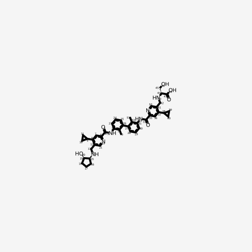 Cc1c(NC(=O)c2cc(C3CC3)c(CN[C@H]3CCC[C@@H]3O)cn2)cccc1-c1cccc(NC(=O)c2cc(C3CC3)c(CN[C@H](CO)C(=O)O)cn2)c1C